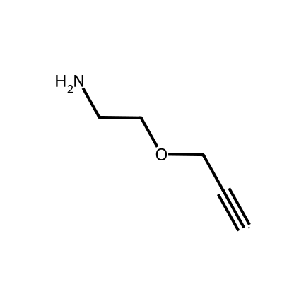 [C]#CCOCCN